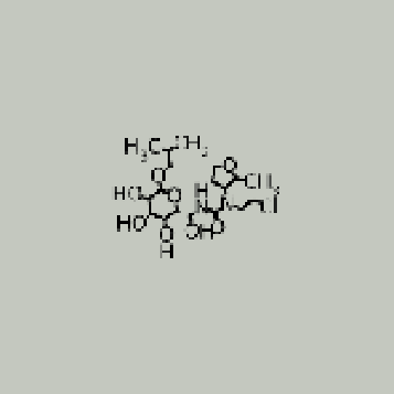 CC(C)CO[C@H]1O[C@H](C(O)NC(=O)N(CCCl)C2CCOC2C)[C@@H](O)[C@H](O)[C@H]1O